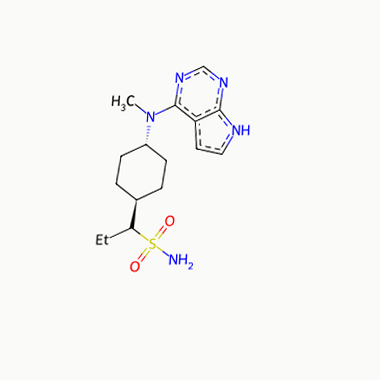 CCC([C@H]1CC[C@H](N(C)c2ncnc3[nH]ccc23)CC1)S(N)(=O)=O